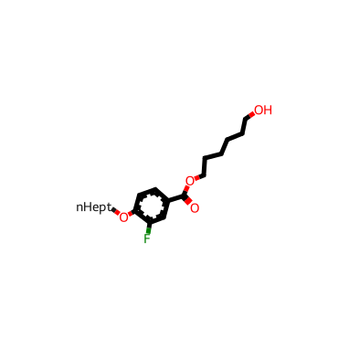 CCCCCCCOc1ccc(C(=O)OCCCCCCO)cc1F